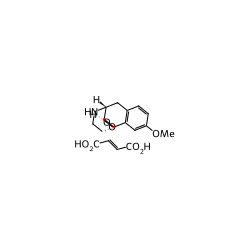 COc1ccc2c(c1)[C@]13CCN[C@H](C2)[C@@H]1OCOC3.O=C(O)/C=C/C(=O)O